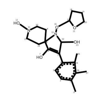 Cc1ccc(C2=C(O)C3(CCN(O)CC3)N(OC3CCCO3)C2O)c(C)c1C